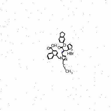 Br.CCCCc1ncc(/C=C(\Cc2cccs2)C(=O)Oc2ccc3c(c2)CCC3)n1Cc1ccc(C(=O)O)c2ccccc12